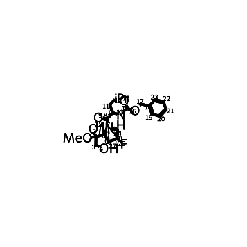 COC1(OC)CO[C@H]2[C@@H]1N(C(=O)C(CC(C)C)NC(=O)OCc1ccccc1)C[C@@H]2F